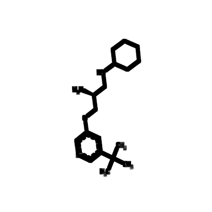 CC(C)(C)c1cncc(OC[C@@H](N)CNC2CCCCC2)c1